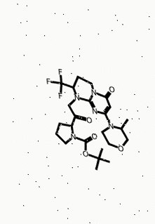 CC1COCCN1c1cc(=O)n2c(n1)N(CC(=O)C1CCCN1C(=O)OC(C)(C)C)C(C(F)(F)F)CC2